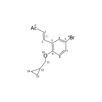 CC(=O)/C=C/c1cc(Br)ccc1OCC1CC1